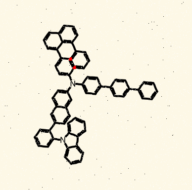 c1ccc(-c2ccc(-c3ccc(N(c4ccc(-c5cccc6cccc(-c7ccccc7)c56)cc4)c4ccc5cc(-c6ccccc6-n6c7ccccc7c7ccccc76)ccc5c4)cc3)cc2)cc1